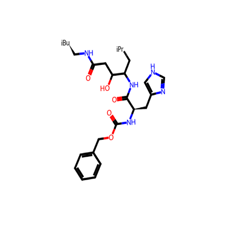 CC[C@H](C)CNC(=O)CC(O)C(CC(C)C)NC(=O)[C@@H](Cc1c[nH]cn1)NC(=O)OCc1ccccc1